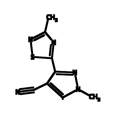 Cc1nsc(-c2nn(C)[c]c2C#N)n1